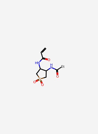 C=CC(=O)NC1CS(=O)(=O)CC1NC(=O)CC